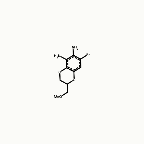 COCC1COc2c(cc(Br)c(N)c2N)O1